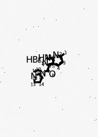 Br.Cc1ccc2c(C(=O)N3CCN4CCC3C4)n[nH]c2n1